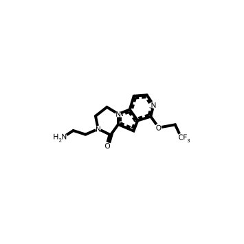 NCCN1CCn2c(cc3c(OCC(F)(F)F)nccc32)C1=O